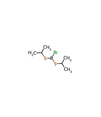 CC(C)SB(Br)SC(C)C